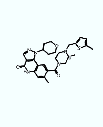 Cc1ccc(CN2CCN(C(=O)c3cc4c(cc3C)[nH]c(=O)c3cnn(C5CCOCC5)c34)C[C@@H]2C)s1